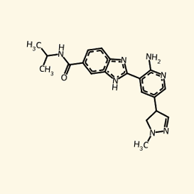 CC(C)NC(=O)c1ccc2nc(-c3cc(C4C=NN(C)C4)cnc3N)[nH]c2c1